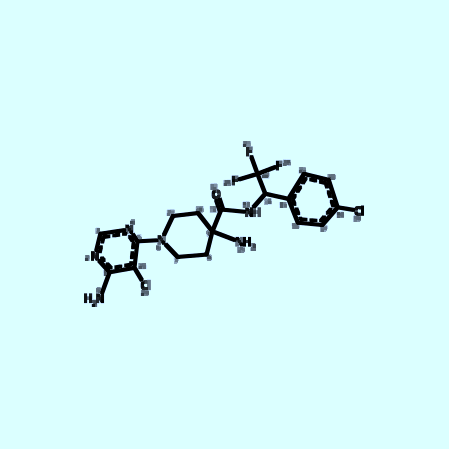 Nc1ncnc(N2CCC(N)(C(=O)NC(c3ccc(Cl)cc3)C(F)(F)F)CC2)c1Cl